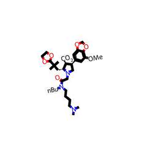 CCCCN(CCCCN(C)C)C(=O)CN1C[C@H](c2cc(OC)c3c(c2)OCO3)[C@H](C(=O)O)[C@H]1CC(C)(C)C1OCCO1